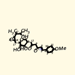 COc1ccc(/C=C/C(=O)CC(=O)C[C@H]2CO[C@@H](CC3OC3C(C)C(C)O)[C@H](O)[C@H]2O)cc1